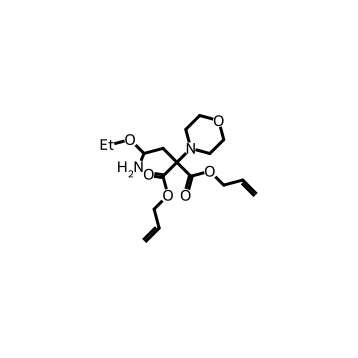 C=CCOC(=O)C(CC(N)OCC)(C(=O)OCC=C)N1CCOCC1